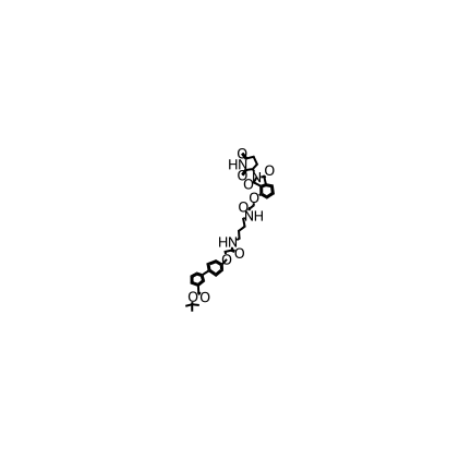 CC(C)(C)OC(=O)c1cccc(-c2ccc(OCC(=O)NCCCCNC(=O)COc3cccc4c3C(=O)N(C3CCC(=O)NC3=O)C4=O)cc2)c1